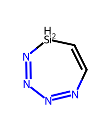 C1=C[SiH2]N=NN=N1